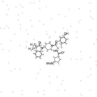 CN[C@@H]1CC[C@H](C(=O)N[C@@H](Cc2ccc(O)cc2)C(=O)N2CCC(N3C(=O)C(C)(C)c4ccccc43)CC2)C1